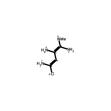 CN/C(N)=C(N)/C=C(\N)Cl